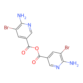 Nc1ncc(C(=O)OC(=O)c2cnc(N)c(Br)c2)cc1Br